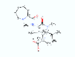 C/C(=C\[C@H](C(C)C)N(C)C(=O)[C@@H](NC(=O)C1CCCCCN1C)C(C)(C)C)C(=O)O